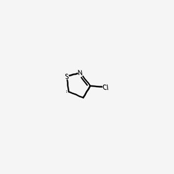 ClC1=NS[C]C1